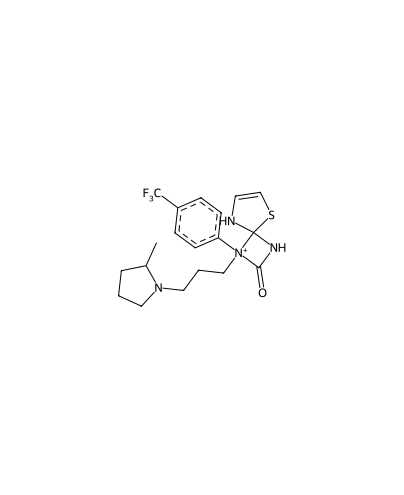 CC1CCCN1CCC[N+]1(c2ccc(C(F)(F)F)cc2)C(=O)NC12NC=CS2